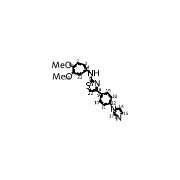 COc1ccc(Nc2nc(-c3ccc(-n4ccnc4)cc3)cs2)cc1OC